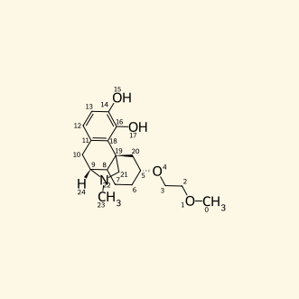 COCCO[C@@H]1CCC2[C@H]3Cc4ccc(O)c(O)c4[C@]2(C1)CN3C